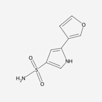 NS(=O)(=O)c1c[nH]c(-c2ccoc2)c1